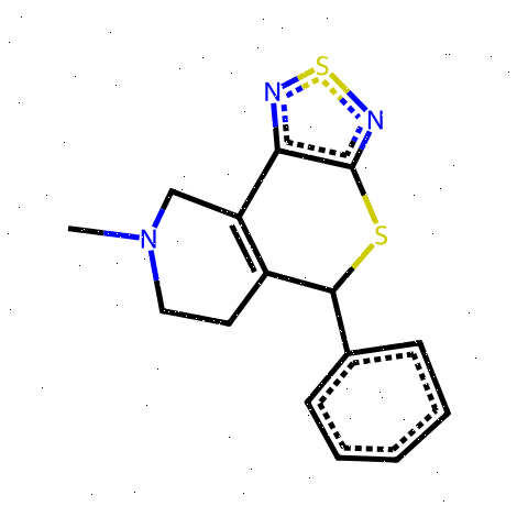 CN1CCC2=C(C1)c1nsnc1SC2c1ccccc1